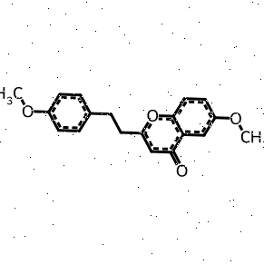 COc1ccc(CCc2cc(=O)c3cc(OC)ccc3o2)cc1